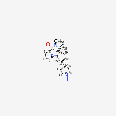 CN1C(=O)c2cccn2-c2cc(C3=CCNCC3)ccc2C12CC2